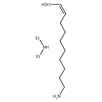 CCCCCCCC/C=C\CCCCCCCCN.CCNCC